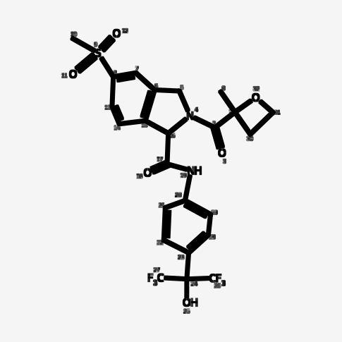 CC1(C(=O)N2Cc3cc(S(C)(=O)=O)ccc3C2C(=O)Nc2ccc(C(O)(C(F)(F)F)C(F)(F)F)cc2)CCO1